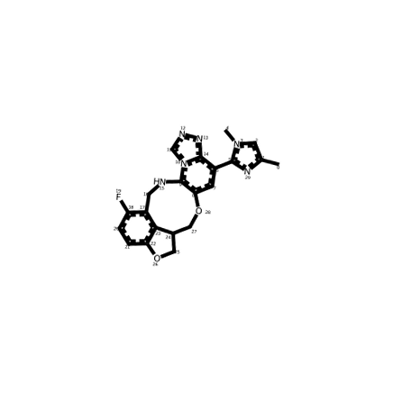 Cc1cn(C)c(-c2cc3c(n4cnnc24)NCc2c(F)ccc4c2C(CO4)CO3)n1